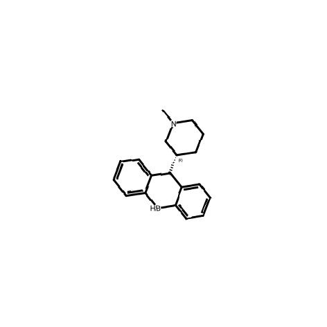 CN1CCC[C@H](C2c3ccccc3Bc3ccccc32)C1